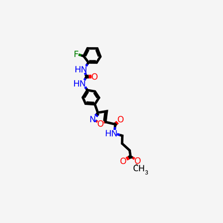 COC(=O)CCCNC(=O)c1cc(-c2ccc(NC(=O)Nc3ccccc3F)cc2)no1